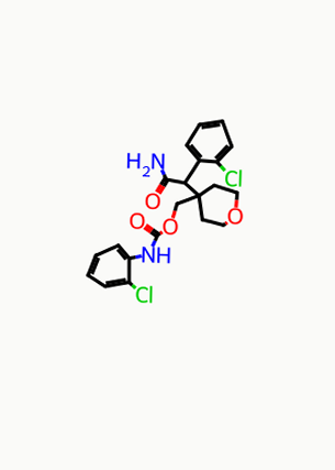 NC(=O)C(c1ccccc1Cl)C1(COC(=O)Nc2ccccc2Cl)CCOCC1